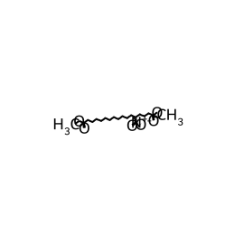 COC(=O)CCCCCCCCCCCC(CCCC(=O)OC)[N+](=O)[O-]